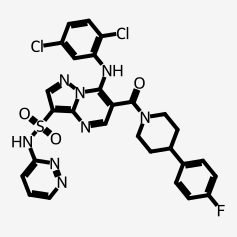 O=C(c1cnc2c(S(=O)(=O)Nc3cccnn3)cnn2c1Nc1cc(Cl)ccc1Cl)N1CCC(c2ccc(F)cc2)CC1